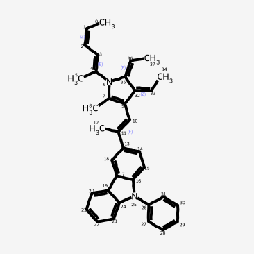 C/C=C\C=C(/C)n1c(C)c(/C=C(\C)c2ccc3c(c2)c2ccccc2n3-c2ccccc2)c(=C/C)/c1=C\C